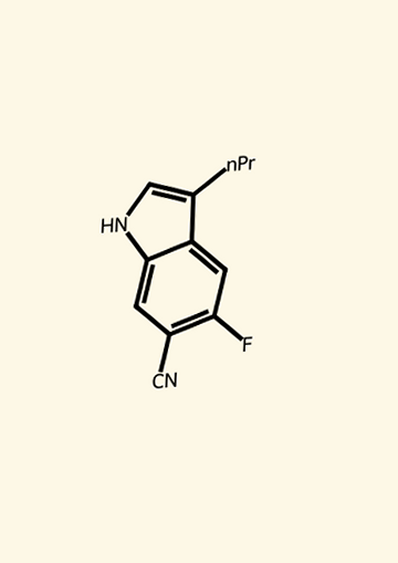 CCCc1c[nH]c2cc(C#N)c(F)cc12